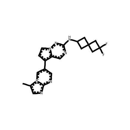 Cc1cnc2ncc(-c3ccn4nc(NC5CC6(C5)CC(F)(F)C6)ncc34)cn12